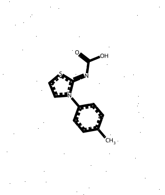 Cc1ccc(-n2ccsc2=NC(=O)O)cc1